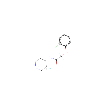 O=C(N[C@H]1CCNC[C@@H]1F)C(F)(F)Oc1ccccc1Cl